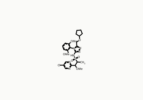 COc1cccc(OC)c1-n1c(COC2CCCC2)nnc1NS(=O)(=O)C(C)C(OC)c1ncc(Cl)cn1